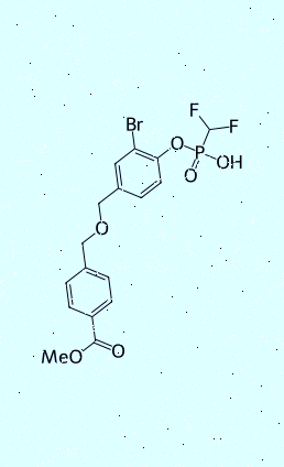 COC(=O)c1ccc(COCc2ccc(OP(=O)(O)C(F)F)c(Br)c2)cc1